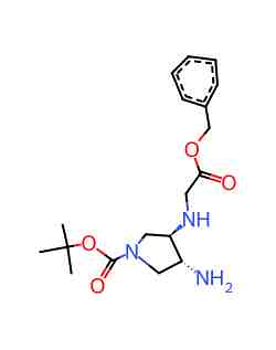 CC(C)(C)OC(=O)N1C[C@@H](N)[C@H](NCC(=O)OCc2ccccc2)C1